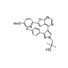 COc1ccc(-c2cc3c(-c4cn(CC(C)(C)O)nc4-c4ccc(F)cc4)ncnc3o2)nc1